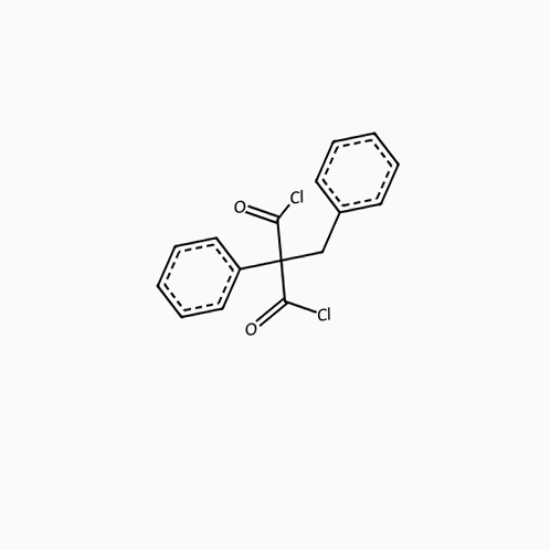 O=C(Cl)C(Cc1ccccc1)(C(=O)Cl)c1ccccc1